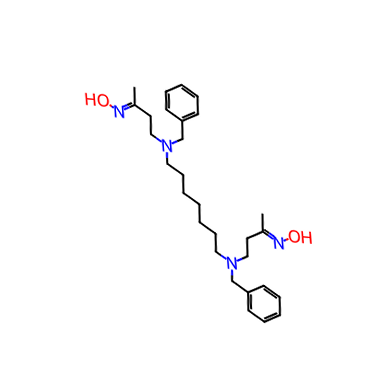 CC(CCN(CCCCCCCN(CCC(C)=NO)Cc1ccccc1)Cc1ccccc1)=NO